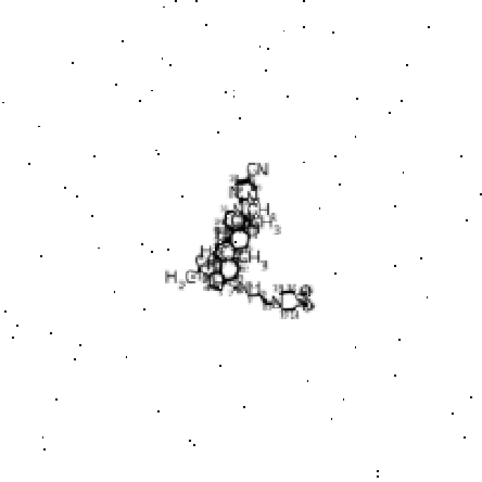 C=C(C)[C@@H]1CC[C@]2(CNCCCN3CCS(=O)(=O)CC3)CC[C@]3(C)[C@H](CC[C@@H]4[C@@]5(C)CCN(c6ncc(C#N)cn6)C(C)(C)[C@@H]5CC[C@]43C)[C@@H]12